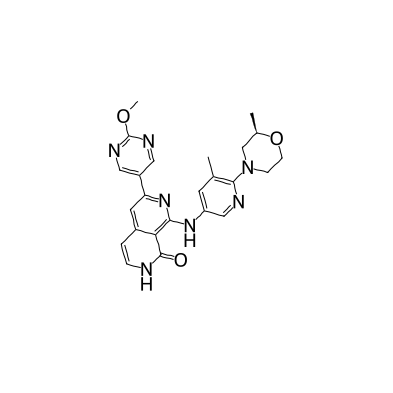 COc1ncc(-c2cc3cc[nH]c(=O)c3c(Nc3cnc(N4CCO[C@H](C)C4)c(C)c3)n2)cn1